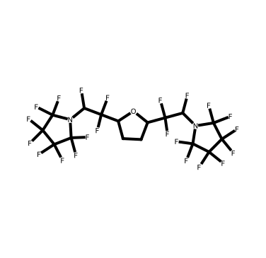 FC(N1C(F)(F)C(F)(F)C(F)(F)C1(F)F)C(F)(F)C1CCC(C(F)(F)C(F)N2C(F)(F)C(F)(F)C(F)(F)C2(F)F)O1